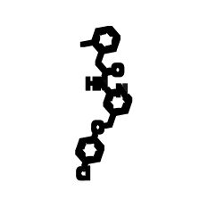 Cc1ccccc1CC(=O)Nc1cc(COc2ccc(Cl)cc2)ccn1